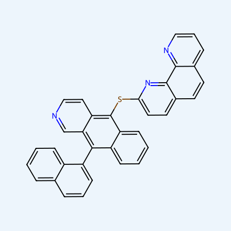 c1ccc2c(-c3c4ccccc4c(Sc4ccc5ccc6cccnc6c5n4)c4ccncc34)cccc2c1